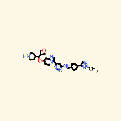 Cn1ncc(-c2ccc(CNc3cc(-c4cnc5cc(OC(C6CCNCC6)C6COC6)ccn45)ncn3)cc2)n1